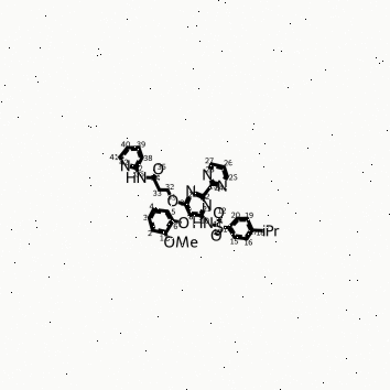 COc1ccccc1Oc1c(NS(=O)(=O)c2ccc(C(C)C)cc2)nc(-c2ncccn2)nc1OCCC(=O)Nc1ccccn1